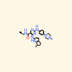 C#CCNC(=O)c1cnc(Nc2ccc(N3CCN(C)CC3)cc2)nc1Nc1ccc2c(n1)C(C)CC2